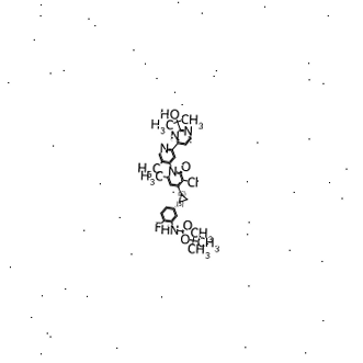 Cc1cnc(-c2ccnc(C(C)(C)O)n2)cc1-n1c(C)cc([C@H]2C[C@@H]2c2ccc(F)c(NC(=O)OC(C)(C)C)c2)c(Cl)c1=O